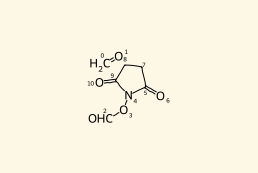 C=O.O=CON1C(=O)CCC1=O